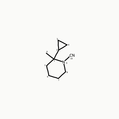 CC1(C2CC2)CCCCN1C#N